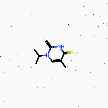 C=C1NC(=S)C(C)=CN1C(C)C